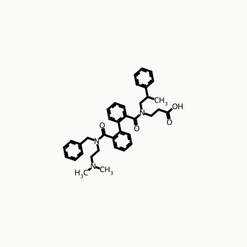 CC(CN(CCC(=O)O)C(=O)c1ccccc1-c1ccccc1C(=O)N(CCN(C)C)Cc1ccccc1)c1ccccc1